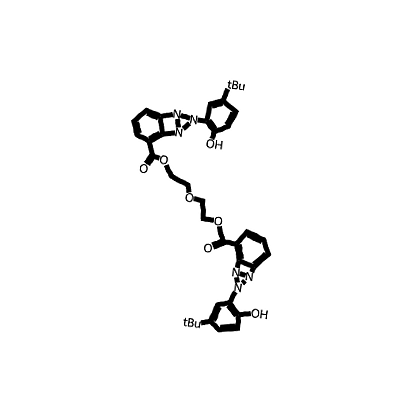 CC(C)(C)c1ccc(O)c(-n2n3c4cccc(C(=O)OCCOCCOC(=O)c5cccc6c5n5n(-c7cc(C(C)(C)C)ccc7O)n65)c4n23)c1